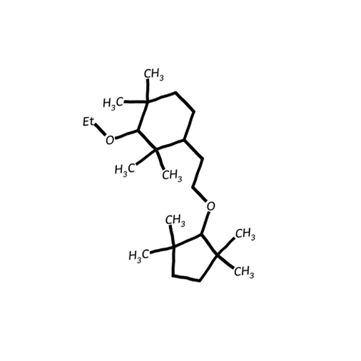 CCOC1C(C)(C)CCC(CCOC2C(C)(C)CCC2(C)C)C1(C)C